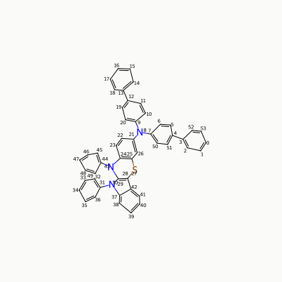 c1ccc(-c2ccc(N(c3ccc(-c4ccccc4)cc3)c3ccc4c(c3)Sc3c(n(-c5ccccc5)c5ccccc35)N4c3ccccc3)cc2)cc1